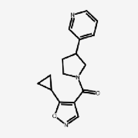 O=C(c1cnoc1C1CC1)N1CCC(c2cccnc2)C1